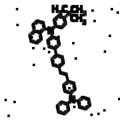 CC(C)(C)c1ccc(N(c2ccc(-c3ccc(/C=C/c4ccc(N(c5ccccc5)c5ccccc5)cc4)cc3)cc2)c2cccc3ccccc23)cc1